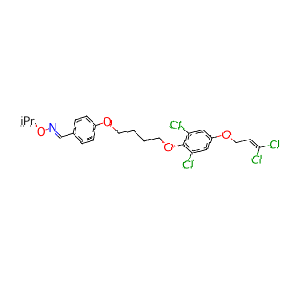 CC(C)ON=Cc1ccc(OCCCCOc2c(Cl)cc(OCC=C(Cl)Cl)cc2Cl)cc1